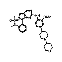 COc1cc(N2CCN(C3CCOCC3)CC2)ccc1Nc1ncc2ccc(-c3ccccc3N(C)S(C)(=O)=O)n2n1